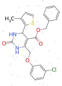 Cc1ccsc1C1NC(=O)NC(COc2cccc(Cl)c2)=C1C(=O)OCc1ccccc1